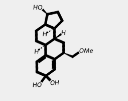 COC[C@@H]1C[C@@H]2[C@H](CCC3[C@H]2CC[C@@H]3O)C2=CCC(O)(O)C=C21